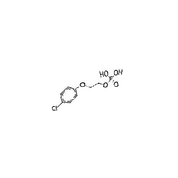 O=P(O)(O)OCCOc1ccc(Cl)cc1